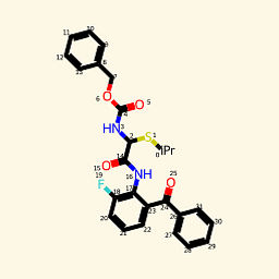 CC(C)SC(NC(=O)OCc1ccccc1)C(=O)Nc1c(F)cccc1C(=O)c1ccccc1